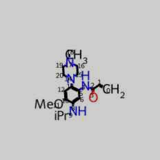 C=CC(=O)Nc1cc(NC(C)C)c(OC)cc1N1CCN(C)CC1